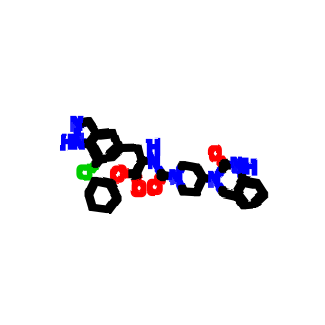 O=C(OC1CCCCC1)C(Cc1cc(Cl)c2[nH]ncc2c1)NC(=O)N1CCC(N2Cc3ccccc3NC2=O)CC1